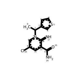 CC(c1ccsc1)n1cc(Cl)cc(C(N)=O)c1=N